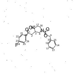 O=C(CC1CN(C(=O)OCc2ccccc2)CCC1=O)c1ccc(F)cc1